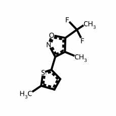 Cc1ccc(-c2noc(C(C)(F)F)c2C)s1